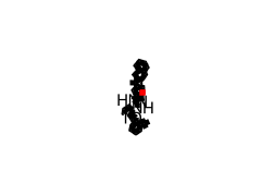 CC(c1ccc2nc(Nc3cccnc3Oc3ccccc3C(C)(C)C)[nH]c2c1)N1CCc2ccccc2C1